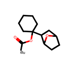 CCC(C)C(=O)OC1(C2CC3CCC2O3)CCCCC1